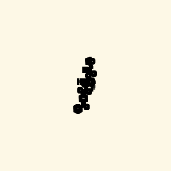 O=C(NCc1ccco1)Oc1ccc(F)c2c(C(=O)C(=O)N3CCN(C(=O)c4ccccc4)CC3)c[nH]c12